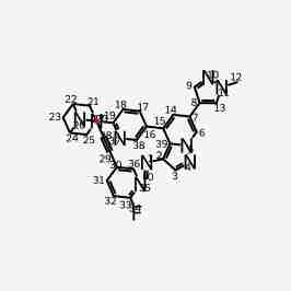 C=Nc1cnn2cc(-c3cnn(C)c3)cc(-c3ccc(N4CC5CC(C4)N5CC#Cc4ccc(F)nc4)nc3)c12